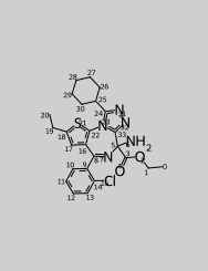 CCOC(=O)C1(N)N=C(c2ccccc2Cl)c2cc(CC)sc2-n2c(C3CCCCC3)nnc21